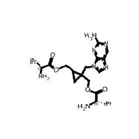 CC(C)[C@H](N)C(=O)OCC1CC1(COC(=O)[C@@H](N)C(C)C)Cn1cnc2cnc(N)nc21